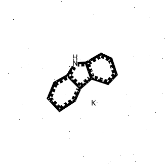 [K].c1ccc2c(c1)[nH]c1ccccc12